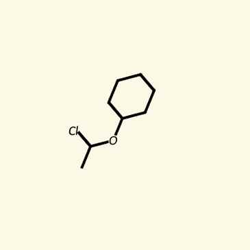 CC(Cl)OC1CCCCC1